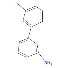 Cc1cc[c]c(-c2cccc(N)c2)c1